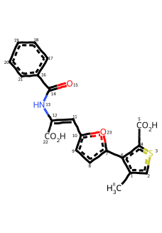 Cc1csc(C(=O)O)c1-c1ccc(C=C(NC(=O)c2ccccc2)C(=O)O)o1